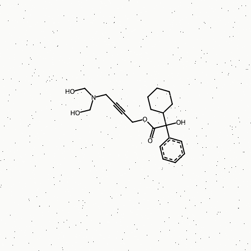 O=C(OCC#CCN(CO)CO)C(O)(c1ccccc1)C1CCCCC1